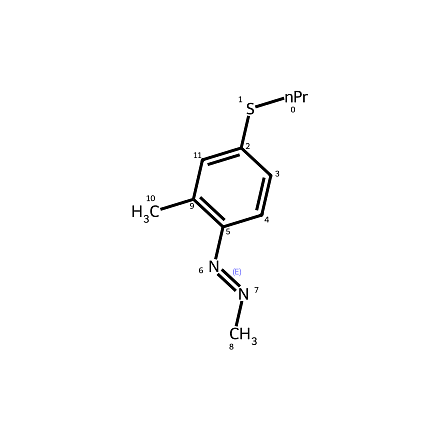 CCCSc1ccc(/N=N/C)c(C)c1